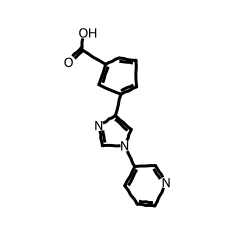 O=C(O)c1cccc(-c2cn(-c3cccnc3)cn2)c1